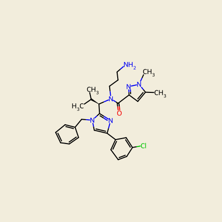 Cc1cc(C(=O)N(CCCN)[C@@H](c2nc(-c3cccc(Cl)c3)cn2Cc2ccccc2)C(C)C)nn1C